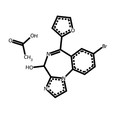 CC(=O)O.OC1N=C(c2ccco2)c2cc(Br)ccc2-n2ccnc21